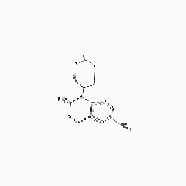 O=C1CCc2cc([N+](=O)[O-])ccc2N1C1CCNCC1